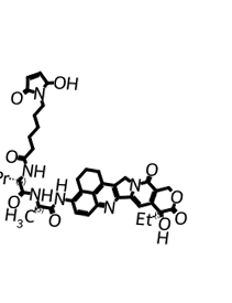 CC[C@@]1(O)C(=O)OCc2c1cc1n(c2=O)Cc2c-1nc1ccc(NC(=O)[C@H](C)NC(=O)[C@@H](NC(=O)CCCCCN3C(=O)C=CC3O)C(C)C)c3c1c2CCC3